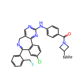 CNC1CN(C(=O)c2ccc(Nc3ncc4c(n3)-c3ccc(Cl)cc3C(c3ccccc3CF)=NC4)cc2)C1